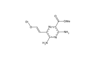 CCO/C=C/c1nc(C(=O)OC)c(N)nc1N